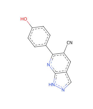 N#Cc1cc2cn[nH]c2nc1-c1ccc(O)cc1